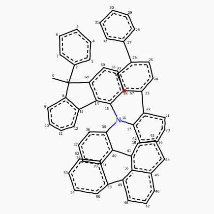 CC1(c2ccccc2)c2ccccc2-c2c(N(c3ccccc3-c3ccc(-c4ccccc4)cc3)c3ccccc3-c3cccc4cccc(-c5ccccc5)c34)cccc21